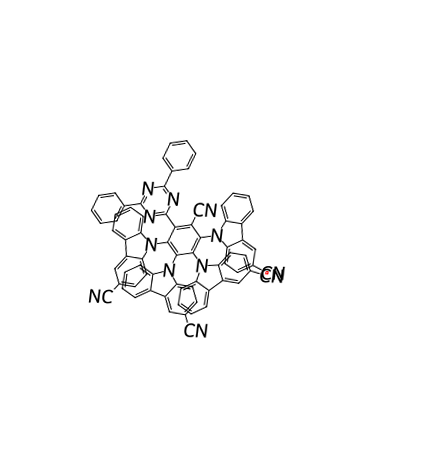 N#Cc1ccc2c(c1)c1ccccc1n2-c1c(C#N)c(-c2nc(-c3ccccc3)nc(-c3ccccc3)n2)c(-n2c3ccccc3c3cc(C#N)ccc32)c(-n2c3ccccc3c3cc(C#N)ccc32)c1-n1c2ccccc2c2cc(C#N)ccc21